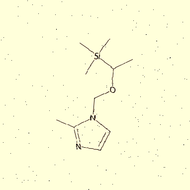 Cc1nccn1COC(C)[Si](C)(C)C